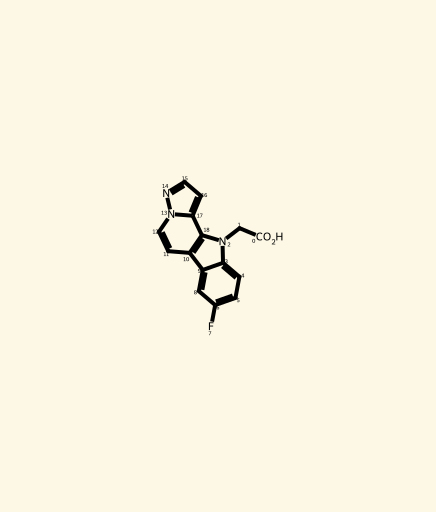 O=C(O)Cn1c2ccc(F)cc2c2ccn3nccc3c21